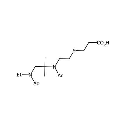 CCN(CC(C)(C)N(CCSCCC(=O)O)C(C)=O)C(C)=O